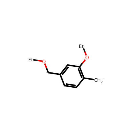 [CH2]c1ccc([CH]OCC)cc1OCC